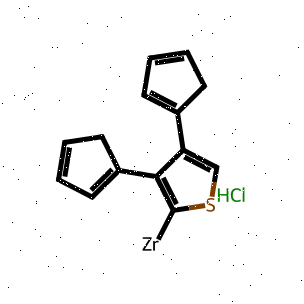 Cl.[Zr][c]1scc(C2=CC=CC2)c1C1=CC=CC1